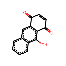 O=C1C=CC(=O)c2c1cc1ccccc1c2O